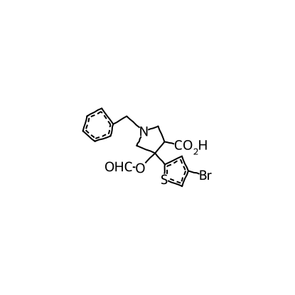 O=COC1(c2cc(Br)cs2)CN(Cc2ccccc2)CC1C(=O)O